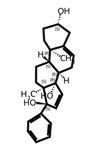 C[C@]12CC[C@H]3[C@@H](CC=C4C[C@@H](O)CC[C@@]43C)[C@@]1(O)C=C[C@]2(O)c1ccccc1